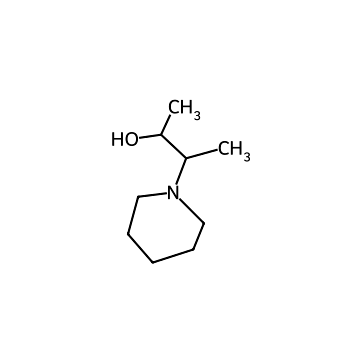 CC(O)C(C)N1CCCCC1